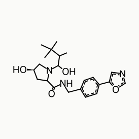 CC(C(O)N1C[C@H](O)CC1C(=O)NCc1ccc(-c2cnco2)cc1)C(C)(C)C